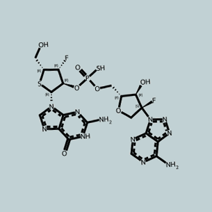 Nc1nc2c(ncn2[C@@H]2S[C@H](CO)[C@H](F)[C@H]2OP(=O)(S)OC[C@H]2OC[C@@](F)(n3nnc4c(N)ncnc43)[C@@H]2O)c(=O)[nH]1